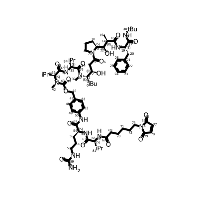 CC[C@H](C)[C@@H]([C@H](O)CC(=O)N1CCC[C@H]1[C@H](O)[C@@H](C)C(=O)N[C@@H](Cc1ccccc1)C(=O)NC(C)(C)C)N(C)C(=O)[C@@H](NC(=O)[C@H](C(C)C)N(C)C(=O)OCc1ccc(NC(=O)[C@H](CCCNC(N)=O)NC(=O)[C@@H](NC(=O)CCCCCN2C(=O)C=CC2=O)C(C)C)cc1)C(C)C